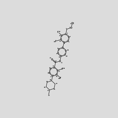 CCOCc1ccc(-c2ccc(OC(=O)c3ccc(C4CCC(C)CC4)c(F)c3F)cc2)c(F)c1F